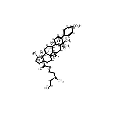 CC(C)[C@@H]1CC[C@]2(C(=O)NCCN(C)CCO)CC[C@]3(C)[C@H](CC[C@@H]4[C@@]5(C)CC=C(c6ccc(C(=O)O)cc6)C(C)(C)[C@@H]5CC[C@]43C)[C@@H]12